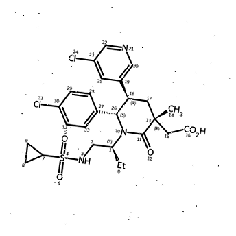 CC[C@@H](CNS(=O)(=O)C1CC1)N1C(=O)[C@@](C)(CC(=O)O)C[C@H](c2cncc(Cl)c2)[C@H]1c1ccc(Cl)cc1